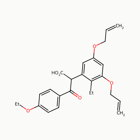 C=CCOc1cc(OCC=C)c(CC)c(C(C(=O)O)C(=O)c2ccc(OCC)cc2)c1